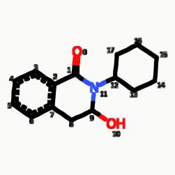 O=C1c2ccccc2CC(O)N1C1CCCCC1